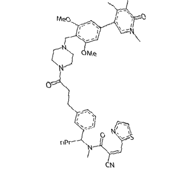 CCCC(c1cccc(CCC(=O)N2CCN(Cc3c(OC)cc(-c4cn(C)c(=O)c(C)c4C)cc3OC)CC2)c1)N(C)C(=O)/C(C#N)=C\c1nccs1